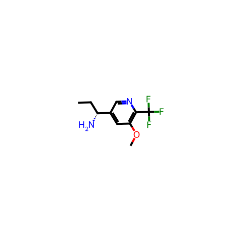 CC[C@@H](N)c1cnc(C(F)(F)F)c(OC)c1